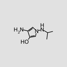 CC(C)Nn1cc(N)c(O)c1